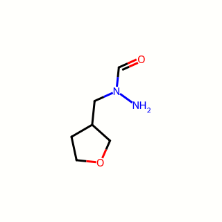 NN(C=O)CC1CCOC1